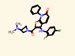 CN(C)C1CN(C(=O)c2sc3c(ccc(=O)n3-c3ccccc3)c2Nc2ccc(F)cc2F)C1